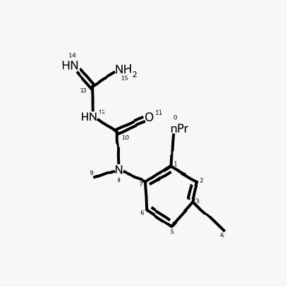 CCCc1cc(C)ccc1N(C)C(=O)NC(=N)N